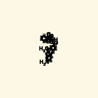 COc1cc(C(=O)ONS(=O)(=O)C(=O)c2ccccc2C)ccc1Cn1ncc2cc(N)ccc21